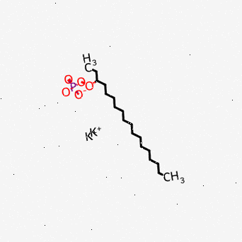 CCCCCCCCCCCCCCCC(CC)OOP(=O)([O-])[O-].[K+].[K+]